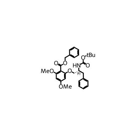 COc1cc(OC)c(C(=O)OCc2ccccc2)c(OC[C@@H](Cc2ccccc2)NC(=O)OC(C)(C)C)c1